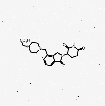 O=C(O)CN1CCN(Cc2cccc3c2CN(C2CCC(=O)NC2=O)C3=O)CC1